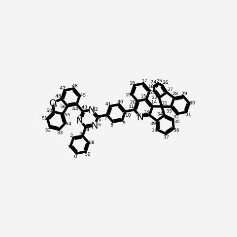 c1ccc(-c2nc(-c3ccc(-c4nc5c(c6ccccc46)C4(c6ccccc6-c6ccccc64)c4ccccc4-5)cc3)nc(-c3cccc4oc5ccccc5c34)n2)cc1